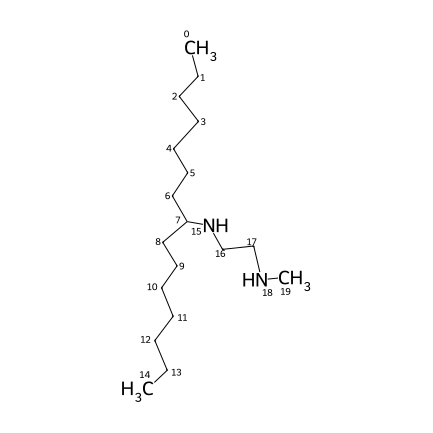 CCCCCCCC(CCCCCCC)NCCNC